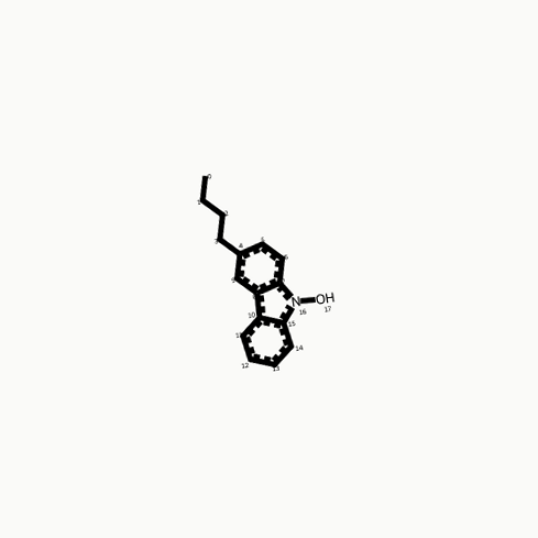 CCCCc1ccc2c(c1)c1ccccc1n2O